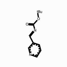 CC(C)(C)OC(=O)/N=C/c1cccnc1